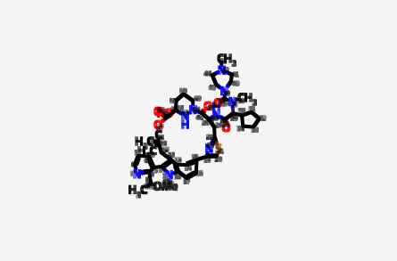 CCn1c(-c2cccnc2[C@H](C)OC)c2c3cc(ccc31)-c1csc(n1)C[C@H](NC(=O)[C@H](C1CCCC1)N(C)C(=O)N1CCN(C)CC1)C(=O)N1CCC[C@@](O)(N1)C(=O)OCC(C)(C)C2